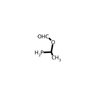 CC(P)O[C]=O